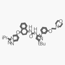 CC(C)c1nnc2ccc(O[C@@H]3CC[C@H](NC(=O)Nc4cc(C(C)(C)C)nn4-c4cccc(OCCN5CCOCC5)c4)c4ccccc43)cn12